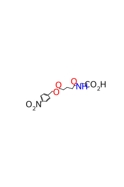 O=C(O)CNC(=O)CCCC(=O)OCc1ccc([N+](=O)[O-])cc1